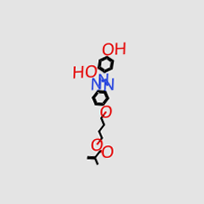 C=C(C)C(=O)OCCCCOc1ccc2nn(-c3ccc(O)cc3O)nc2c1